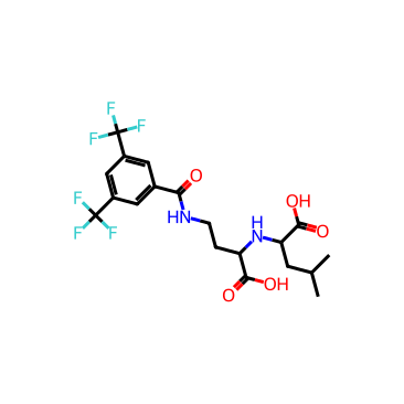 CC(C)CC(NC(CCNC(=O)c1cc(C(F)(F)F)cc(C(F)(F)F)c1)C(=O)O)C(=O)O